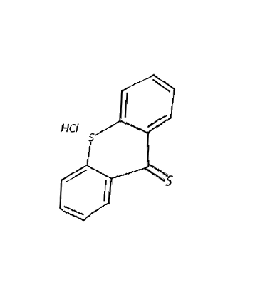 Cl.S=c1c2ccccc2sc2ccccc12